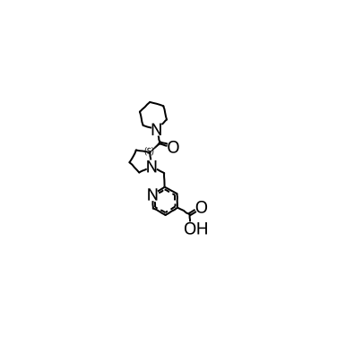 O=C(O)c1ccnc(CN2CCC[C@H]2C(=O)N2CCCCC2)c1